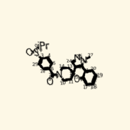 CC(C)[S+]([O-])c1ccc(C(=O)N2CCC3(CC2)Oc2ccccc2-c2c3cnn2C)cc1